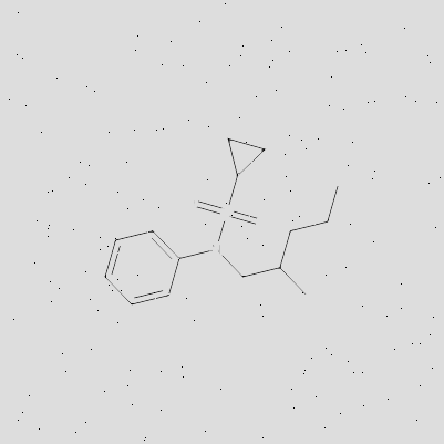 CCCC(C)CN(c1ccccc1)S(=O)(=O)C1CC1